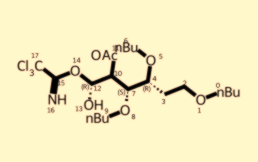 CCCCOCC[C@@H](OCCCC)[C@H](OCCCC)C(OC(C)=O)[C@H](O)OC(=N)C(Cl)(Cl)Cl